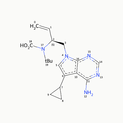 C=C[C@@H](Cn1cc(C2CC2)c2c(N)ncnc21)N(C(=O)O)C(C)(C)C